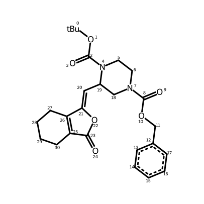 CC(C)(C)OC(=O)N1CCN(C(=O)OCc2ccccc2)CC1/C=C1\OC(=O)C2=C1CCCC2